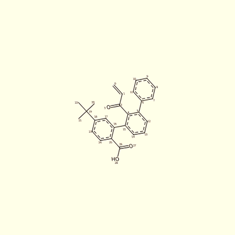 C=CC(=O)c1c(-c2ccccc2)cccc1-c1cc(C(C)(C)C)ccc1C(=O)O